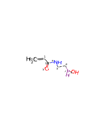 C=CC(=O)NCCPO